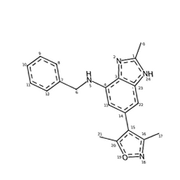 Cc1nc2c(NCc3ccccc3)cc(-c3c(C)noc3C)cc2[nH]1